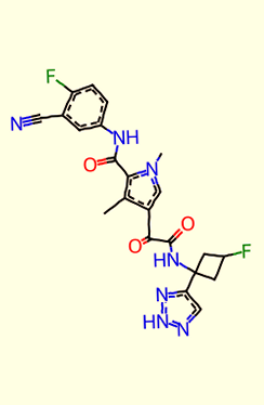 Cc1c(C(=O)C(=O)NC2(c3cn[nH]n3)CC(F)C2)cn(C)c1C(=O)Nc1ccc(F)c(C#N)c1